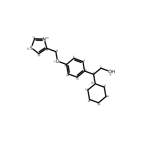 OCC(c1ccc(OCc2cscn2)cc1)C1CCCCC1